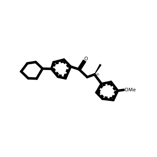 COc1cccc([C@H](C)CC(=O)c2ccc(C3CCCCC3)cc2)c1